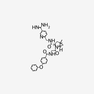 C[C@@]12C[C@@H]1N(C(=O)CNC(=O)c1ccc(Oc3ccccc3)cc1)[C@H](C(=O)NCc1ccc(C(=N)N)cn1)C2